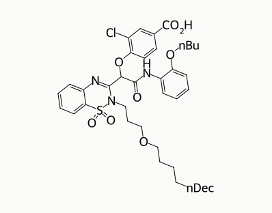 CCCCCCCCCCCCCCOCCCN1C(C(Oc2ccc(C(=O)O)cc2Cl)C(=O)Nc2ccccc2OCCCC)=Nc2ccccc2S1(=O)=O